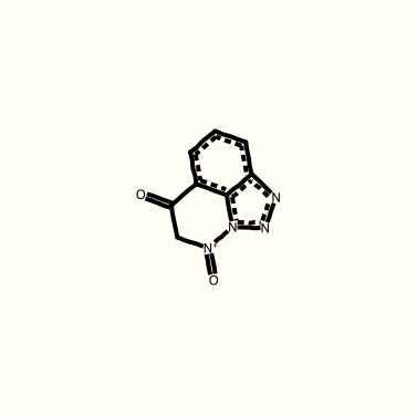 O=C1C[N+](=O)n2nnc3cccc1c32